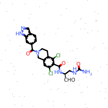 NC(=O)NC[C@@H](C=O)NC(=O)c1c(Cl)cc2c(c1Cl)CCN(C(=O)c1ccc3cn[nH]c3c1)C2